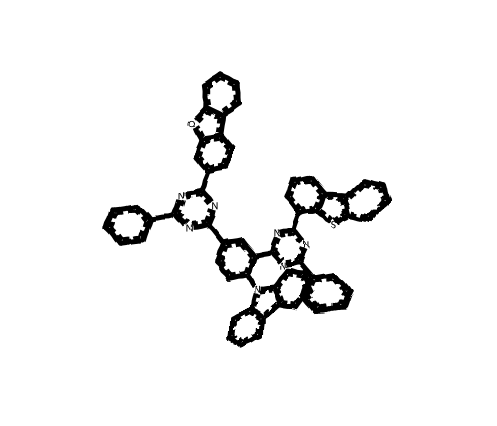 c1ccc(-c2nc(-c3ccc(-n4c5ccccc5c5ccccc54)c(-c4nc(-c5ccccc5)nc(-c5cccc6c5sc5ccccc56)n4)c3)nc(-c3ccc4c(c3)oc3ccccc34)n2)cc1